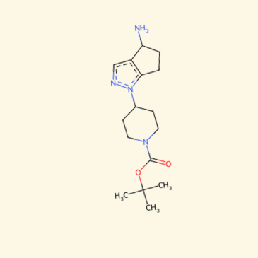 CC(C)(C)OC(=O)N1CCC(n2ncc3c2CCC3N)CC1